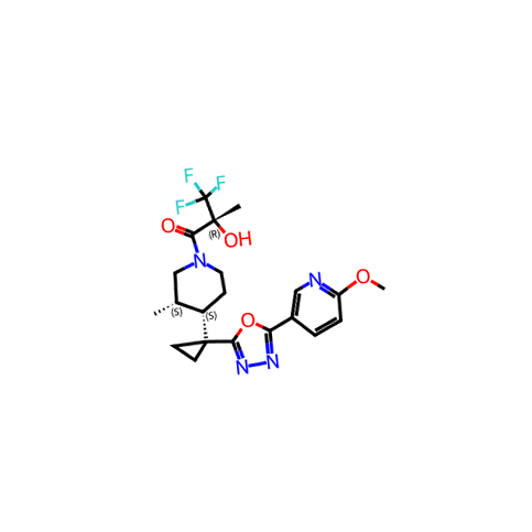 COc1ccc(-c2nnc(C3([C@H]4CCN(C(=O)[C@@](C)(O)C(F)(F)F)C[C@H]4C)CC3)o2)cn1